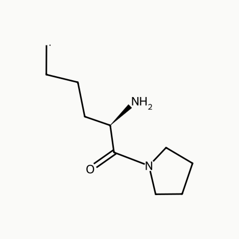 [CH2]CCC[C@@H](N)C(=O)N1CCCC1